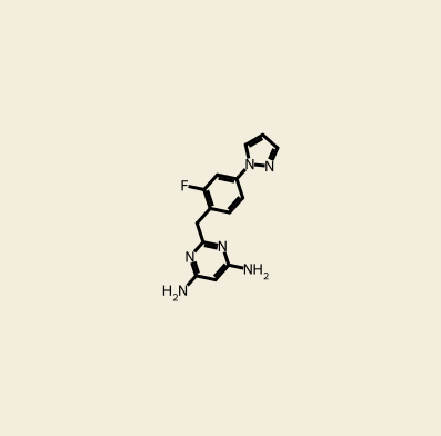 Nc1cc(N)nc(Cc2ccc(-n3cccn3)cc2F)n1